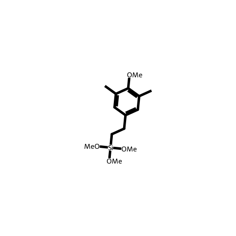 COc1c(C)cc(CC[Si](OC)(OC)OC)cc1C